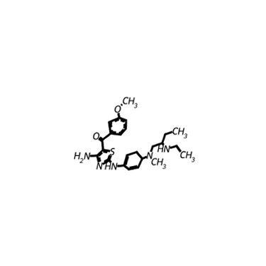 CCNC(CC)CN(C)C1C=CC(Nc2nc(N)c(C(=O)c3cccc(OC)c3)s2)=CC1